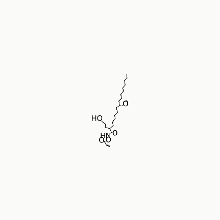 C=CC(=O)ONC(=O)C(CCCO)CCCCCCC(C=O)CCCCCCCCC